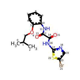 CC(C)COc1ccccc1NC(=O)C(=O)Nc1ncc(Br)s1